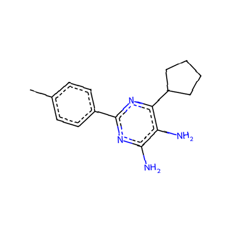 Cc1ccc(-c2nc(N)c(N)c(C3CCCC3)n2)cc1